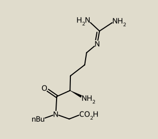 CCCCN(CC(=O)O)C(=O)[C@H](N)CCCN=C(N)N